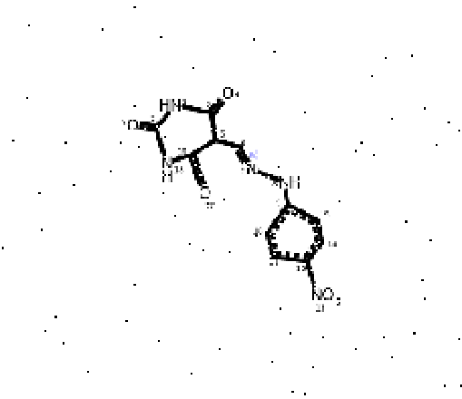 O=C1NC(=O)C(/C=N/Nc2ccc([N+](=O)[O-])cc2)C(=O)N1